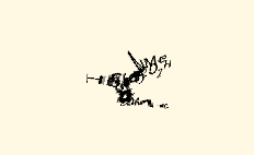 CN[C@@H](COCCN(BC=O)Cc1ccc(OC)cc1)C(=O)O